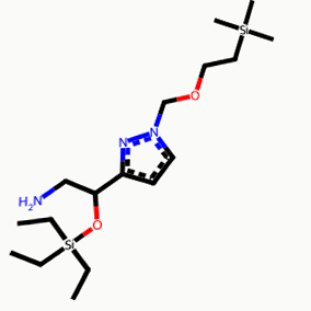 CC[Si](CC)(CC)OC(CN)c1ccn(COCC[Si](C)(C)C)n1